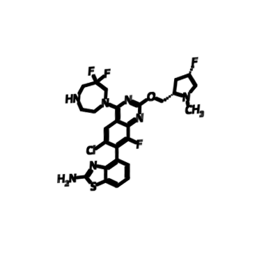 CN1C[C@@H](F)C[C@H]1COc1nc(N2CCNCC(F)(F)C2)c2cc(Cl)c(-c3cccc4sc(N)nc34)c(F)c2n1